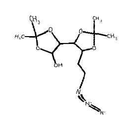 CC1(C)OC(O)C(C2OC(C)(C)OC2CCN=[N+]=[N-])O1